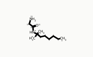 CCCCCCC(C)(C)NC(=O)CN